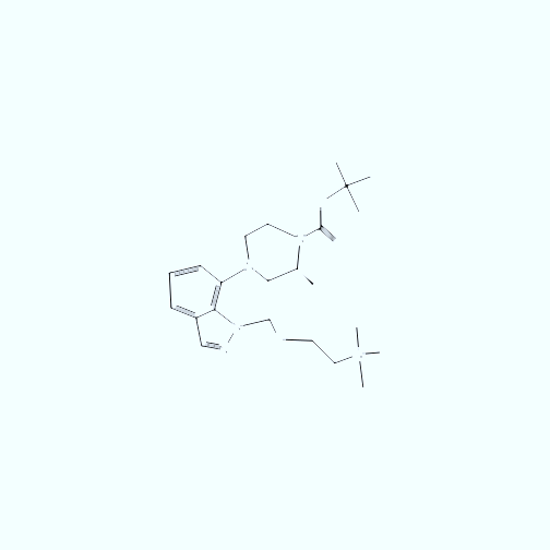 C[C@H]1CN(c2cccc3cnn(COCC[Si](C)(C)C)c23)CCN1C(=O)OC(C)(C)C